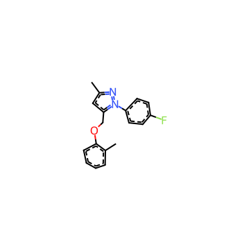 Cc1cc(COc2ccccc2C)n(-c2ccc(F)cc2)n1